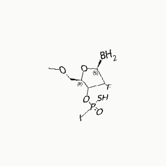 B[C@@H]1O[C@H](COC)C(OP(=O)(S)I)C1F